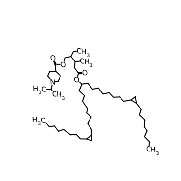 CCCCCCCCC1CC1CCCCCCCCC(CCCCCCCCC1CC1CCCCCCCC)OC(=O)CC(C)C(CC)COC(=O)C1CCN(C(C)C)CC1